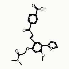 COc1cc(OCC(=O)N(C)C)c(C=CC(=O)c2ccc(C(=O)O)cc2)cc1-c1cccs1